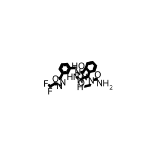 NC(=O)N1CCOCC1C1C=CC=CC1(O)C1=NNNN1Cc1cccc(-c2nnc(C(F)F)o2)c1